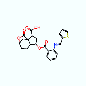 O=C(OC1CC(C(=O)O)C23CC(CCC12)OC3=O)c1ccccc1N=Cc1cccs1